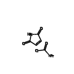 CCCC(=O)Cl.O=C1C=CC(=O)N1